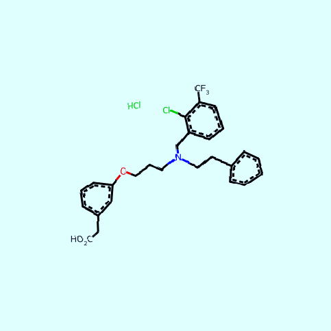 Cl.O=C(O)Cc1cccc(OCCCN(CCc2ccccc2)Cc2cccc(C(F)(F)F)c2Cl)c1